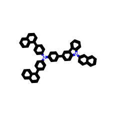 c1ccc2cc(-n3c4ccccc4c4cc(-c5ccc(N(c6ccc(-c7cccc8ccccc78)cc6)c6ccc(-c7cccc8ccccc78)cc6)cc5)ccc43)ccc2c1